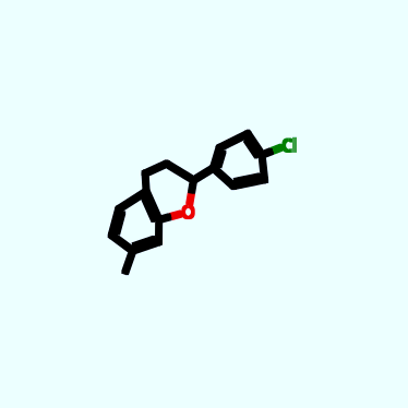 Cc1ccc2c(c1)OC(c1ccc(Cl)cc1)CC2